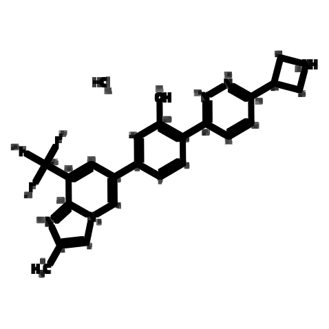 Cc1cn2cc(-c3ccc(-c4ccc(C5CNC5)nn4)c(O)c3)cc(C(F)(F)F)c2n1.Cl